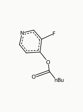 CCCCC(=O)Oc1ccncc1F